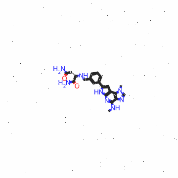 CNc1nc2[nH]c(-c3cccc(CN[C@@H](CC(N)=O)C(N)=O)c3)cc2c2c1ncn2C